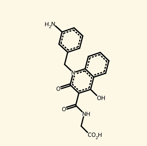 Nc1cccc(Cn2c(=O)c(C(=O)NCC(=O)O)c(O)c3ccccc32)c1